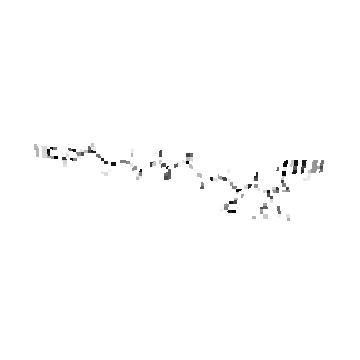 CC(=CC(=O)O)CC(=O)CCCCCCCCCC(=O)O